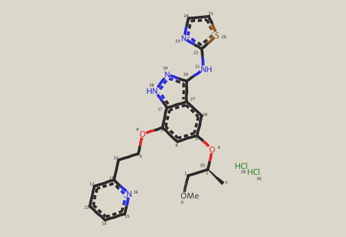 COC[C@H](C)Oc1cc(OCCc2ccccn2)c2[nH]nc(Nc3nccs3)c2c1.Cl.Cl